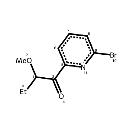 CCC(OC)C(=O)c1cccc(Br)n1